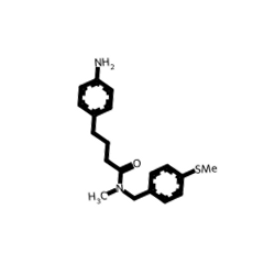 CSc1ccc(CN(C)C(=O)CCCc2ccc(N)cc2)cc1